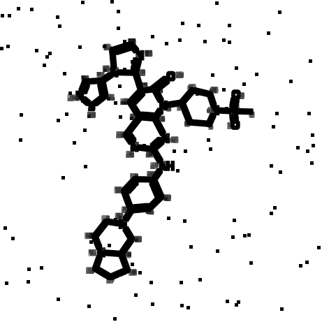 CS(=O)(=O)N1CCC(n2c(=O)c(-c3nccn3-c3cnsc3)cc3cnc(Nc4ccc(N5CCN6CCCC6C5)cc4)nc32)CC1